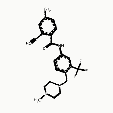 C#Cc1cc(C)ccc1C(=O)Nc1ccc(CN2CCN(C)CC2)c(C(F)(F)F)c1